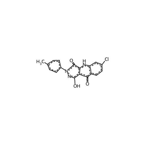 Cc1ccc(-n2nc(O)c3c(=O)c4ccc(Cl)cc4[nH]c3c2=O)cc1